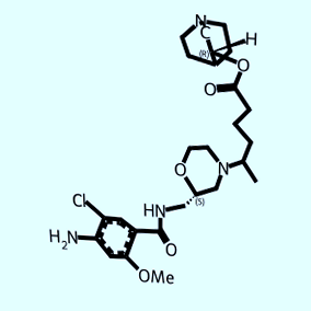 COc1cc(N)c(Cl)cc1C(=O)NC[C@H]1CN(C(C)CCCC(=O)O[C@H]2CN3CCC2CC3)CCO1